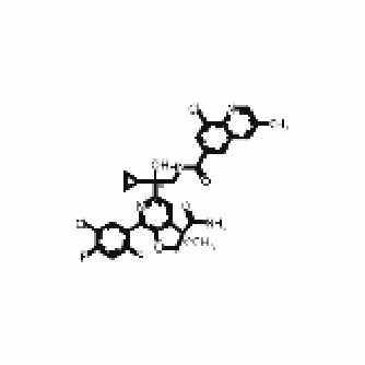 Cc1cnc2c(Cl)cc(C(=O)NC[C@](O)(c3cc4c(c(-c5cc(Cl)c(F)cc5F)n3)OC[C@]4(C)C(N)=O)C3CC3)cc2c1